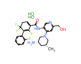 C[C@@H]1C[C@H](N)CN(c2cc(CO)ncc2NC(=O)C2=CCC(F)(F)C(c3ccccc3F)=C2F)C1.Cl.Cl